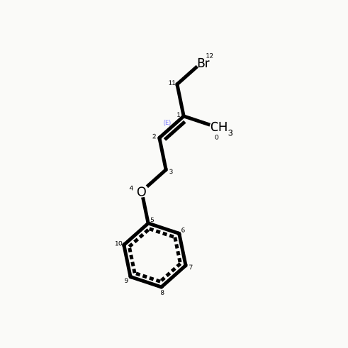 C/C(=C\COc1ccccc1)CBr